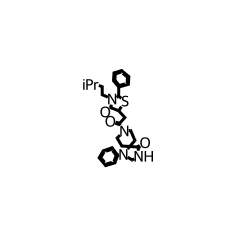 CC(C)CCN1C(=O)C(CC(=O)N2CCC3(CC2)C(=O)NCN3c2ccccc2)SC1c1ccccc1